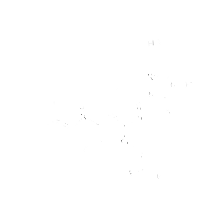 CCn1c(CO)nn(-c2ccc(C(=O)Nc3c(F)cccc3Cl)c(OCC(F)F)c2)c1=O